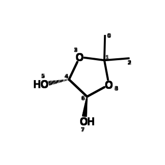 CC1(C)O[C@@H](O)[C@H](O)O1